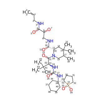 C=CCNC(=O)C(=O)CNC(=O)[C@@H]1CC(C)(C)C(C)CN1C(=O)[C@@H](NC(=O)NC1([C@@H]2CCCS2(=O)=O)CCCCC1)C(C)(C)C